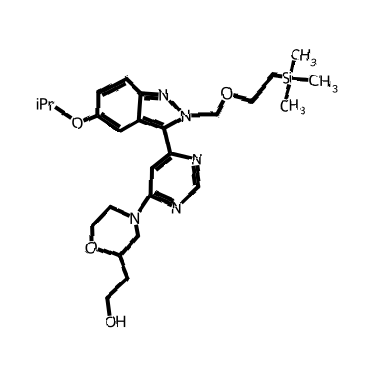 CC(C)Oc1ccc2nn(COCC[Si](C)(C)C)c(-c3cc(N4CCOC(CCO)C4)ncn3)c2c1